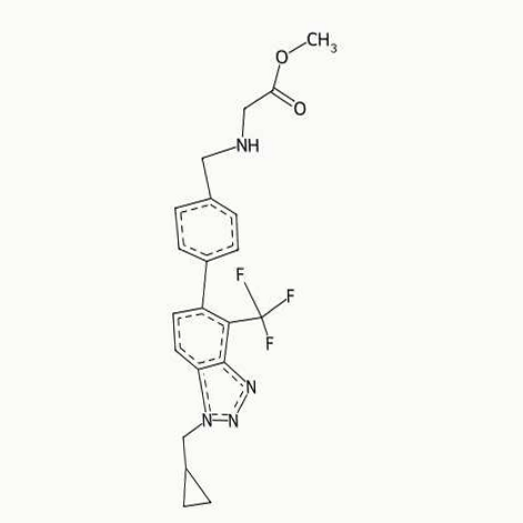 COC(=O)CNCc1ccc(-c2ccc3c(nnn3CC3CC3)c2C(F)(F)F)cc1